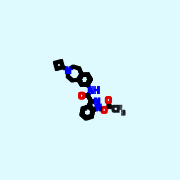 O=C(Nc1ccc2c(c1)CCN(C1CCC1)CC2)c1nn(OC(=O)C(F)(F)F)c2ccccc12